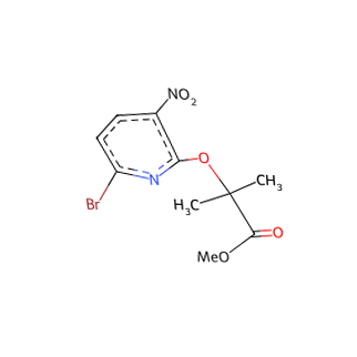 COC(=O)C(C)(C)Oc1nc(Br)ccc1[N+](=O)[O-]